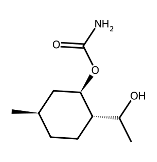 CC(O)[C@@H]1CC[C@@H](C)C[C@H]1OC(N)=O